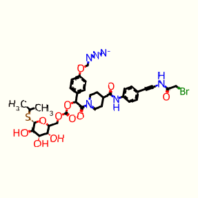 CC(C)S[C@@H]1OC(COC(=O)OC(C(=O)N2CCC(C(=O)Nc3ccc(C#CNC(=O)CBr)cc3)CC2)c2ccc(OCN=[N+]=[N-])cc2)[C@H](O)[C@H](O)C1O